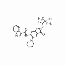 CC(C)(O)C(F)CN1Cc2cc(NC(=O)c3cnc4cccnn34)c(N3CCOCC3)cc2C1=O